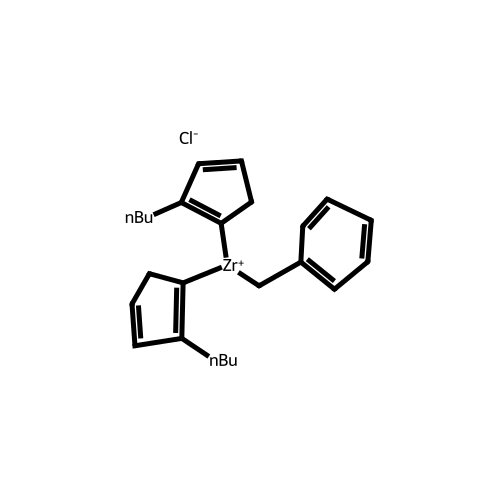 CCCCC1=[C]([Zr+]([CH2]c2ccccc2)[C]2=C(CCCC)C=CC2)CC=C1.[Cl-]